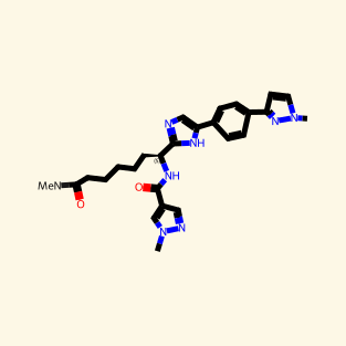 CNC(=O)CCCCC[C@H](NC(=O)c1cnn(C)c1)c1ncc(-c2ccc(-c3ccn(C)n3)cc2)[nH]1